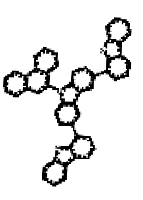 c1ccc2c(c1)cc(-n1c3ccc(-c4cccc5c4sc4ccccc45)cc3c3cc(-c4cccc5c4sc4ccccc45)ccc31)c1ccccc12